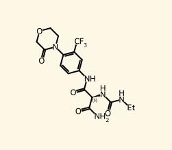 CCNC(=O)N[C@@H](C(N)=O)C(=O)Nc1ccc(N2CCOCC2=O)c(C(F)(F)F)c1